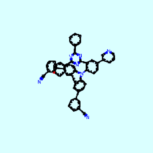 N#Cc1cccc(-c2ccc3c(c2)c2cc(-c4cccc(C#N)c4)ccc2n3-c2ccc(-c3cccnc3)cc2-c2nc(-c3ccccc3)nc(-c3ccccc3)n2)c1